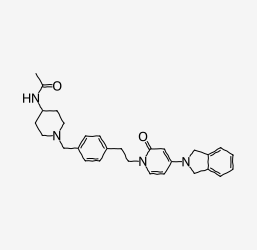 CC(=O)NC1CCN(Cc2ccc(CCn3ccc(N4Cc5ccccc5C4)cc3=O)cc2)CC1